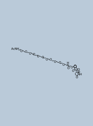 CC(=O)NCCOCCOCCOCCOCCOCCOCCOCCOCCOCCOCCOCCNC(=O)COc1cccc2c1C(=O)N(C1CCC(=O)NC1=O)C2=O